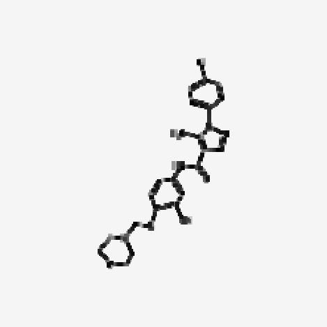 Cc1c(C(=O)Nc2ccc(SCN3CCOCC3)c(C#N)c2)cnn1-c1ccc(Cl)cc1